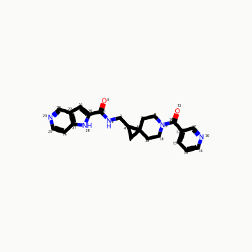 O=C(NCC1CC12CCN(C(=O)c1cccnc1)CC2)c1cc2cnccc2[nH]1